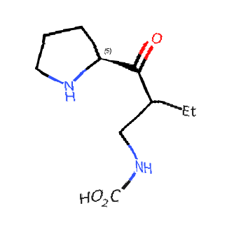 CCC(CNC(=O)O)C(=O)[C@@H]1CCCN1